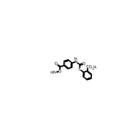 CCCOC(=O)c1ccc(NC(=O)Sc2ccccc2C(=O)O)cc1